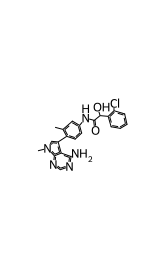 Cc1cc(NC(=O)C(O)c2ccccc2Cl)ccc1-c1cn(C)c2ncnc(N)c12